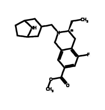 CC[C@H]1Cc2c(F)cc(C(=O)OC)cc2CN1CC1CC2CCC(C1)N2